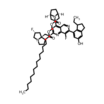 CCCCCCCCCCCCCCCC(=O)OCOC(=O)N1[C@@H]2CC[C@H]1CN(c1nc(OC[C@@]34CCCN3C[C@H](F)C4)nc3c(F)c(-c4cc(O)cc5c4C(CC)CC5)ncc13)C2